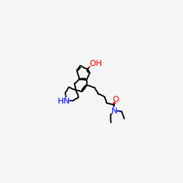 CCN(CC)C(=O)CCCCC1=CC2(CCNCC2)Cc2ccc(O)cc21